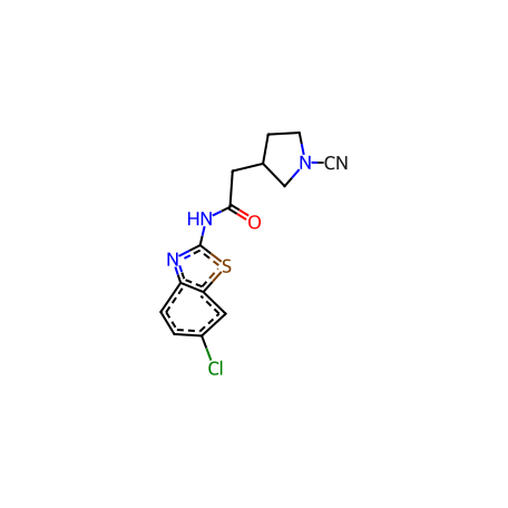 N#CN1CCC(CC(=O)Nc2nc3ccc(Cl)cc3s2)C1